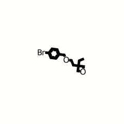 CCC1(CCOCc2ccc(Br)cc2)COC1